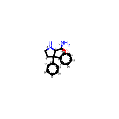 NC(=O)C1NCCC1(c1ccccc1)c1ccccc1